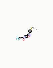 CSc1ccc(C2=NOC3(CCN(C(=O)CCCC(F)(F)F)CC3)C2)cc1